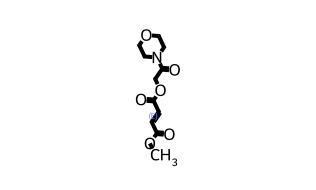 COC(=O)/C=C/C(=O)OCC(=O)N1CCOCC1